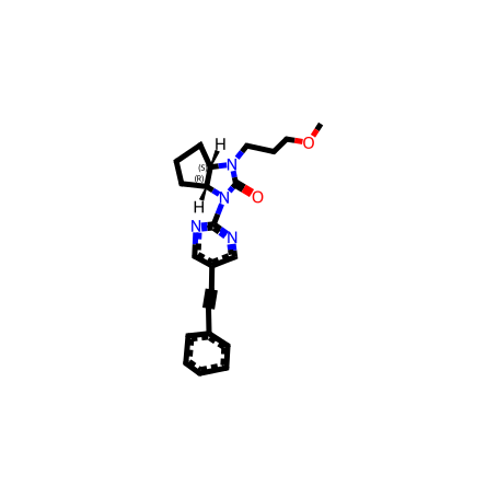 COCCCN1C(=O)N(c2ncc(C#Cc3ccccc3)cn2)[C@@H]2CCC[C@@H]21